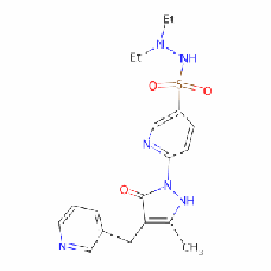 CCN(CC)NS(=O)(=O)c1ccc(-n2[nH]c(C)c(Cc3cccnc3)c2=O)nc1